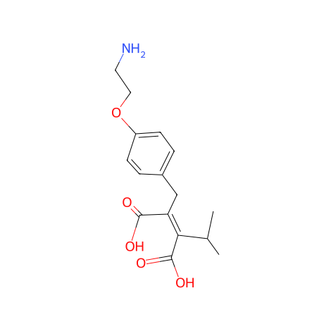 CC(C)/C(C(=O)O)=C(\Cc1ccc(OCCN)cc1)C(=O)O